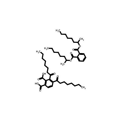 CCCCCCC(C)OC(=O)c1ccccc1C(=O)OC(C)CCCCCC.CCCCCCCC(=O)c1ccc(C(=O)O)c(C(=O)O)c1C(=O)CCCCCCC